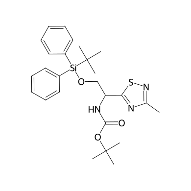 Cc1nsc(C(CO[Si](c2ccccc2)(c2ccccc2)C(C)(C)C)NC(=O)OC(C)(C)C)n1